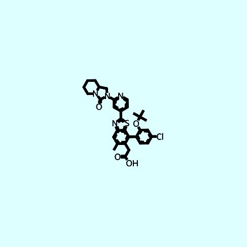 Cc1cc2nc(-c3ccnc(N4CC5CCCCN5C4=O)c3)sc2c(-c2ccc(Cl)cc2OC(C)(C)C)c1CC(=O)O